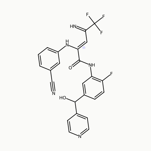 N#Cc1cccc(N/C(=C\C(=N)C(F)(F)F)C(=O)Nc2cc(C(O)c3ccncc3)ccc2F)c1